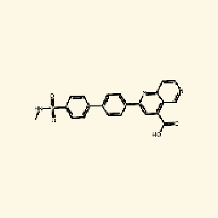 CNS(=O)(=O)c1ccc(-c2ccc(-c3cc(C(=O)O)c4cnccc4n3)cc2)cc1